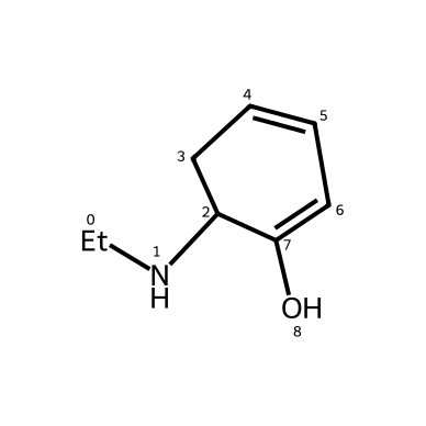 CCNC1CC=CC=C1O